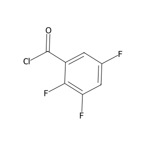 O=C(Cl)c1cc(F)cc(F)c1F